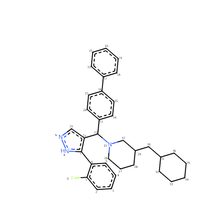 Fc1ccccc1-c1[nH]ncc1C(c1ccc(-c2ccccc2)cc1)N1CCCC(CC2CCCCC2)C1